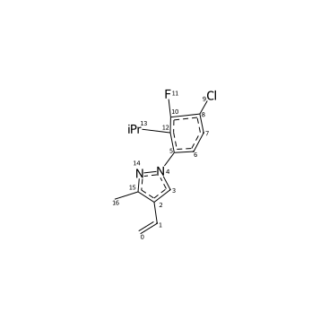 C=Cc1cn(-c2ccc(Cl)c(F)c2C(C)C)nc1C